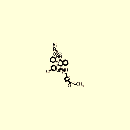 CCOC(=O)c1ccc(CONC(=O)[C@@H]2c3ccccc3C(=O)N([C@H]3CCCC[C@@H]3NS(=O)(=O)CN=[N+]=[N-])[C@H]2c2ccc(Cl)cc2Cl)s1